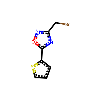 BrCc1noc(-c2cccs2)n1